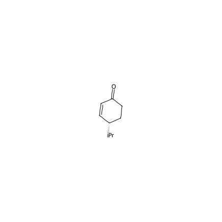 CC(C)[C@@H]1C=CC(=O)CC1